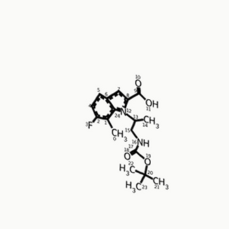 Cc1c(F)ccc2cc(C(=O)O)n(C(C)CNC(=O)OC(C)(C)C)c12